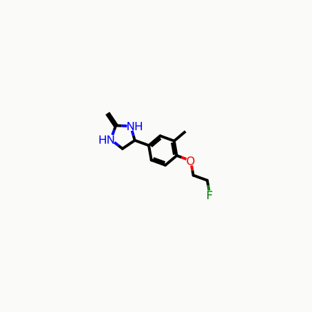 C=C1NCC(c2ccc(OCCF)c(C)c2)N1